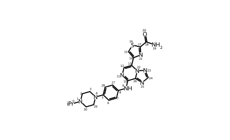 CC(C)N1CCN(c2ccc(Nc3ncc(-c4csc(C(N)=O)n4)n4ncnc34)cc2)CC1